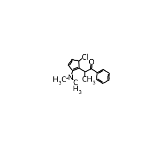 CC(C(=O)c1ccccc1)C1=C(N(C)C)C=CC1Cl